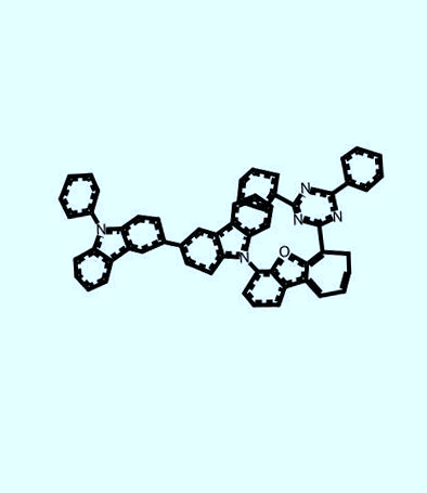 C1=CCC(c2nc(-c3ccccc3)nc(-c3ccccc3)n2)=c2oc3c(-n4c5ccccc5c5cc(-c6ccc7c(c6)c6ccccc6n7-c6ccccc6)ccc54)cccc3c2=C1